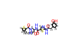 COC(=O)C(CNC(=O)c1cccs1)NC(=O)c1cnc(NC(=O)Cc2cccc(O)c2)s1